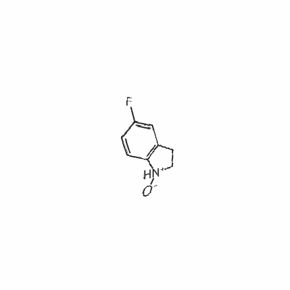 [O-][NH+]1CCc2cc(F)ccc21